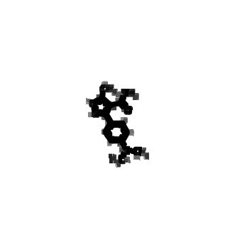 Cc1onc(-c2ccc(N(C)C)cc2)c1C(N)=O